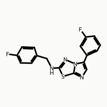 Fc1ccc(CNc2nn3c(-c4cccc(F)c4)cnc3s2)cc1